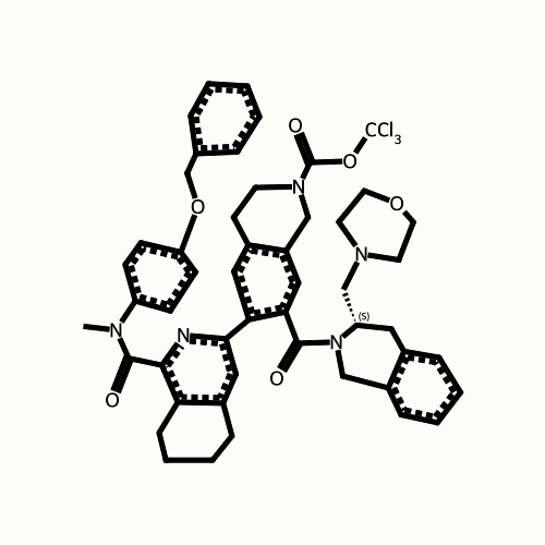 CN(C(=O)c1nc(-c2cc3c(cc2C(=O)N2Cc4ccccc4C[C@H]2CN2CCOCC2)CN(C(=O)OC(Cl)(Cl)Cl)CC3)cc2c1CCCC2)c1ccc(OCc2ccccc2)cc1